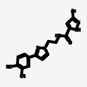 CC(=O)c1cc(C(=O)NCCn2ccc(-c3ccc(C#N)c(C#N)c3)n2)[nH]n1